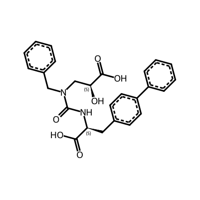 O=C(O)[C@H](Cc1ccc(-c2ccccc2)cc1)NC(=O)N(Cc1ccccc1)C[C@H](O)C(=O)O